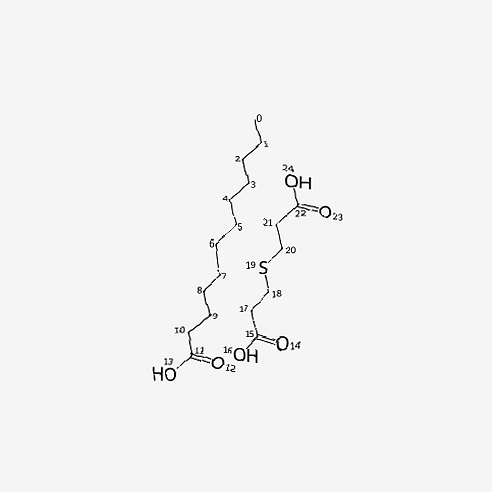 CCCCCCCCCCCC(=O)O.O=C(O)CCSCCC(=O)O